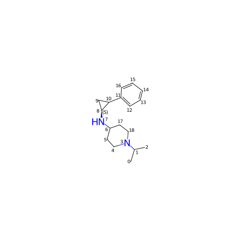 CC(C)N1CCC(N[C@H]2CC2c2ccccc2)CC1